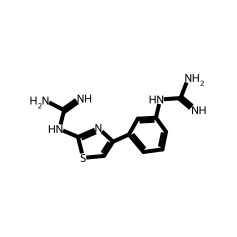 N=C(N)Nc1cccc(-c2csc(NC(=N)N)n2)c1